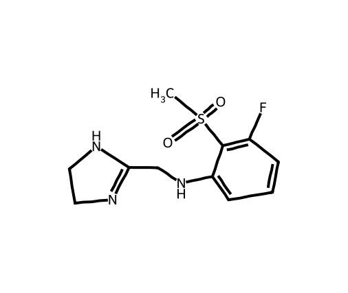 CS(=O)(=O)c1c(F)cccc1NCC1=NCCN1